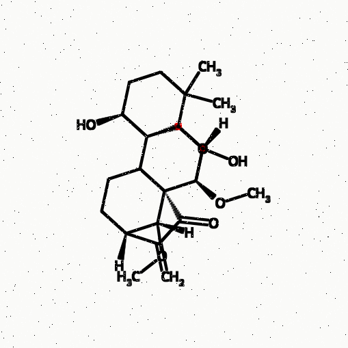 C=C1C(=O)[C@@]23C(CC[C@@H]1[C@H]2OC)[C@@]12CO[C@@]3(OC)[C@@H](O)C1C(C)(C)CC[C@@H]2O